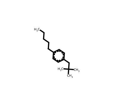 CCCC[CH]c1ccc(CC(C)(C)C)cc1